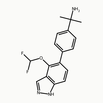 CC(C)(N)c1ccc(-c2ccc3[nH]ncc3c2OC(F)F)cc1